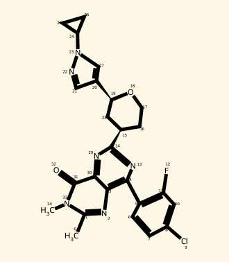 Cc1nc2c(-c3ccc(Cl)cc3F)nc([C@@H]3CCO[C@H](c4cnn(C5CC5)c4)C3)nc2c(=O)n1C